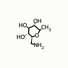 C[C@H]1O[C@@H](CN)[C@H](O)[C@@H](O)[C@@H]1O